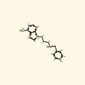 Oc1ncnc2c1ncn2CCCNCc1ccncc1